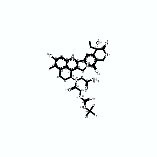 CC[C@@]1(O)C(=O)OCc2c1cc1n(c2=O)Cc2c-1nc1cc(F)c(C)c3c1c2[C@@H](N(CC(N)=O)C(=O)CNC(=O)OC(C)(C)C)CC3